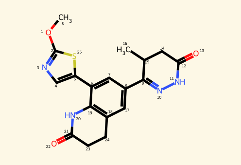 COc1ncc(-c2cc(C3=NNC(=O)CC3C)cc3c2NC(=O)CC3)s1